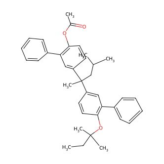 CCC(C)(C)Oc1ccc(C(C)(CC(C)C)c2ccc(OC(C)=O)c(-c3ccccc3)c2)cc1-c1ccccc1